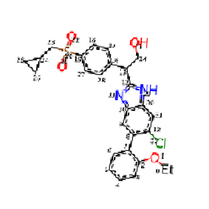 CCOc1ccccc1-c1cc2nc(C(CO)c3ccc(S(=O)(=O)CC4CC4)cc3)[nH]c2cc1Cl